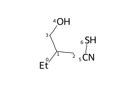 CCC(C)CO.N#CS